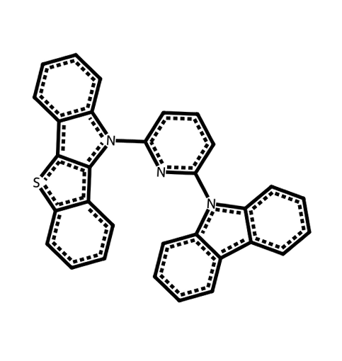 c1cc(-n2c3ccccc3c3ccccc32)nc(-n2c3ccccc3c3sc4ccccc4c32)c1